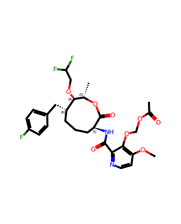 COc1ccnc(C(=O)N[C@H]2CCC[C@H](Cc3ccc(F)cc3)[C@@H](OCC(F)F)[C@H](C)OC2=O)c1OCOC(C)=O